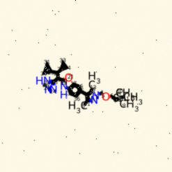 Cc1nn(COCC[Si](C)(C)C)c(C)c1-c1ccc(NC(=O)C(c2nnc[nH]2)C(C2CC2)C2CC2)cc1